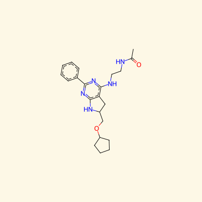 CC(=O)NCCNc1nc(-c2ccccc2)nc2c1CC(COC1CCCC1)N2